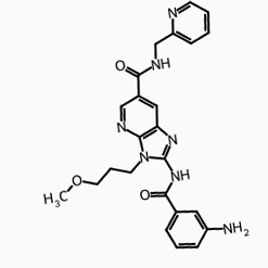 COCCCn1c(NC(=O)c2cccc(N)c2)nc2cc(C(=O)NCc3ccccn3)cnc21